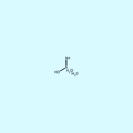 N=NO.O.O